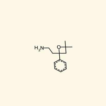 CC1(C)CC(CCN)(c2ccccc2)O1